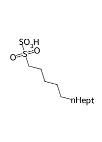 CCCCCCCCCCCCS(=O)(=O)S(=O)(=O)O